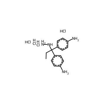 CCC(NN)(c1ccc(N)cc1)c1ccc(N)cc1.Cl.Cl.Cl.Cl